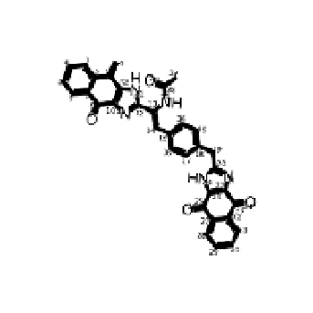 C=C1c2ccccc2C(=O)c2nc(/C(=C/c3ccc(Cc4nc5c([nH]4)C(=O)c4ccccc4C5=O)cc3)NC(C)=O)[nH]c21